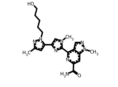 Cc1cc(-c2cn(C)c(-c3nc(C(N)=O)cc4c3cnn4C)n2)n(CCCCCO)n1